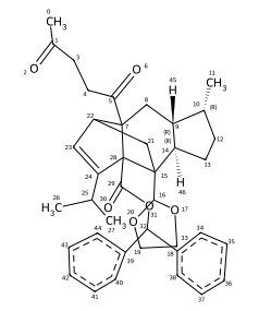 CC(=O)CCC(=O)C12C[C@@H]3[C@H](C)CC[C@H]3C3(C4OCCO4)CC1C=C(C(C)C)C23C(=O)OC(c1ccccc1)c1ccccc1